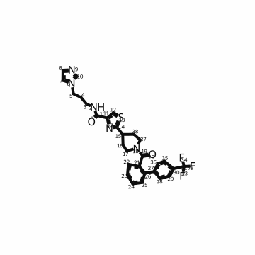 O=C(NCCCn1ccnc1)c1csc(C2CCN(C(=O)c3ccccc3-c3ccc(C(F)(F)F)cc3)CC2)n1